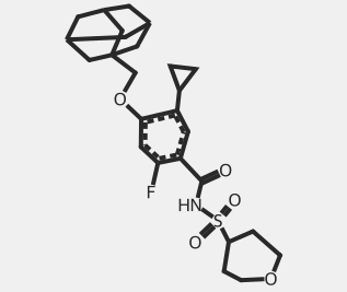 O=C(NS(=O)(=O)C1CCOCC1)c1cc(C2CC2)c(OCC23CC4CC(CC(C4)C2)C3)cc1F